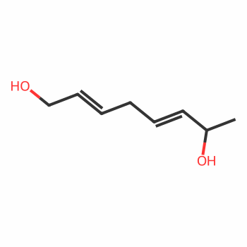 CC(O)C=CCC=CCO